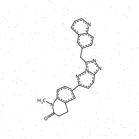 CN1C(=O)CCc2cc(-c3ccc4nnc(Cc5ccc6ncccc6c5)n4n3)ccc21